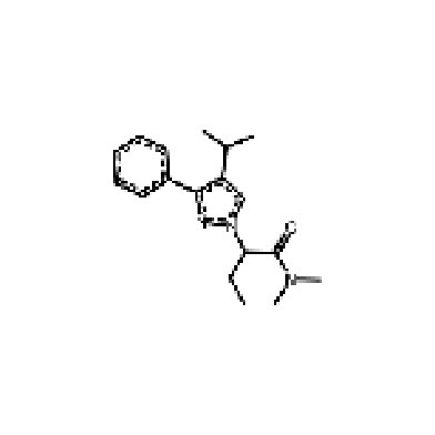 CCC(C(=O)N(C)C)n1cc(C(C)C)c(-c2ccccc2)n1